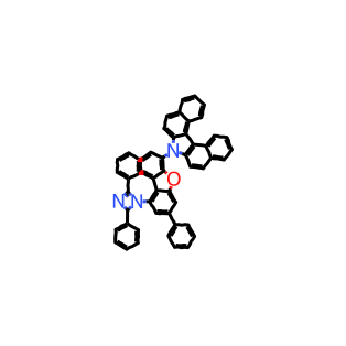 c1ccc(C2=NC(c3ccccc3)N2c2cc(-c3ccccc3)cc3oc4c(-n5c6ccc7ccccc7c6c6c7ccccc7ccc65)cccc4c23)cc1